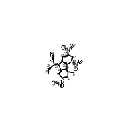 Cc1cc([N+](=O)[O-])cc2c1-c1c(cc([N+](=O)[O-])cc1[N+](=O)[O-])C2=C(C#N)C#N